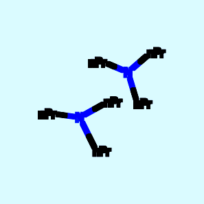 CCCN(CCC)CCC.CCCN(CCC)CCC